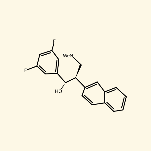 CNC[C@@H](c1ccc2ccccc2c1)[C@H](O)c1cc(F)cc(F)c1